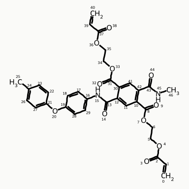 C=CC(=O)OCCOC(=O)c1cc(C(=O)Nc2ccc(Oc3ccc(C)cc3)cc2)c(C(=O)OCCOC(=O)C=C)cc1C(=O)NC